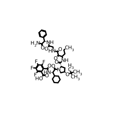 CCCC(NC(=O)[C@@H]1C[C@@H](OC(C)(C)C)CN1C(=O)[C@@H](NC(=O)c1c(F)c(F)c(F)c(F)c1C(=O)O)C1CCCCC1)C(=O)C(=O)NCC(=O)N[C@H](C(N)=O)c1ccccc1